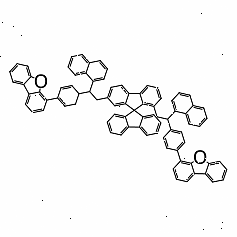 C1=CC(C(Cc2ccc3c(c2)C2(c4ccccc4-c4ccccc42)c2c(CC(c4ccc(-c5cccc6c5oc5ccccc56)cc4)c4cccc5ccccc45)cccc2-3)c2cccc3ccccc23)CC=C1c1cccc2c1oc1ccccc12